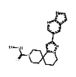 CCNC(=O)N1CCC2(CCCn3nc(-c4cnc5[nH]ccc5c4)cc32)CC1